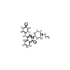 C=CCN1CCCC(n2nc(Cc3ccc(Cl)cc3)c3ccccc3c2=O)CC1